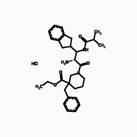 CCOC(=O)C1(Cc2ccccc2)CCCN(C(=O)[C@H](N)C(NC(=O)C(C)C)C2Cc3ccccc3C2)C1.Cl